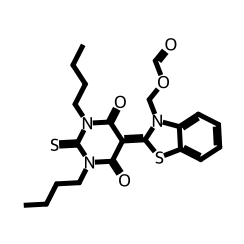 CCCCN1C(=O)C(=C2Sc3ccccc3N2COC=O)C(=O)N(CCCC)C1=S